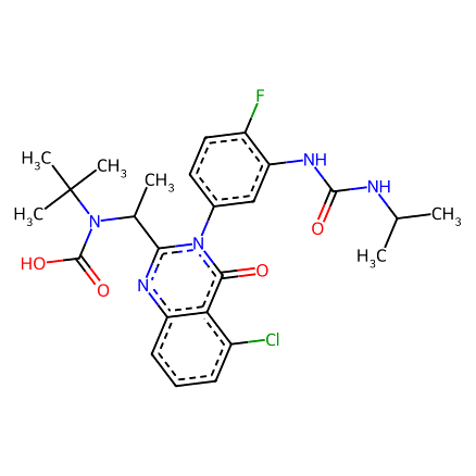 CC(C)NC(=O)Nc1cc(-n2c(C(C)N(C(=O)O)C(C)(C)C)nc3cccc(Cl)c3c2=O)ccc1F